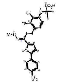 CO/N=C(\CCc1ccc(OC(C)(C)C(=O)O)c(Cl)c1Cl)c1ccc(-c2ccc(C(F)(F)F)cc2)s1